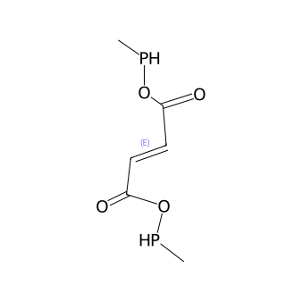 CPOC(=O)/C=C/C(=O)OPC